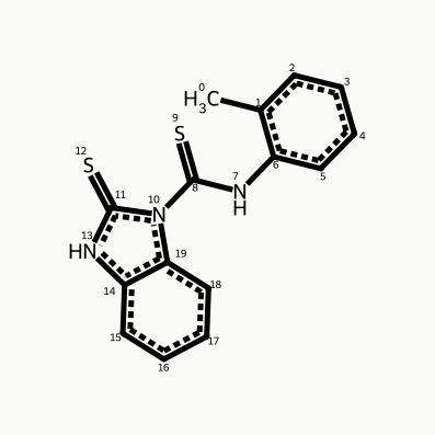 Cc1ccccc1NC(=S)n1c(=S)[nH]c2ccccc21